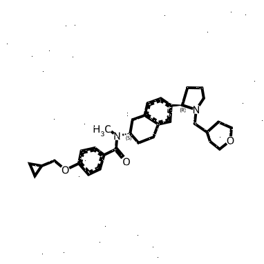 CN(C(=O)c1ccc(OCC2CC2)cc1)[C@H]1CCc2cc([C@H]3CCCN3CC3CCOCC3)ccc2C1